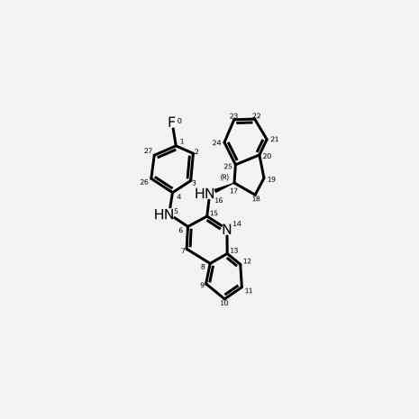 Fc1ccc(Nc2cc3ccccc3nc2N[C@@H]2CCc3ccccc32)cc1